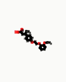 COc1ccccc1OCCOc1ccc(C(C)CC(=O)O)cc1